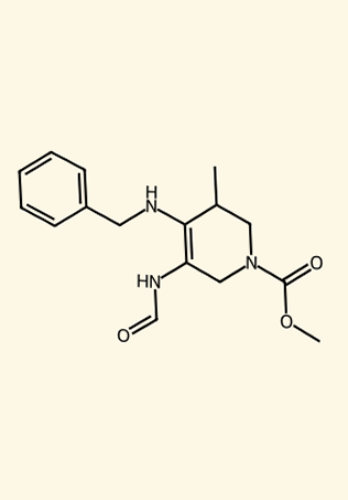 COC(=O)N1CC(NC=O)=C(NCc2ccccc2)C(C)C1